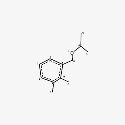 Cc1cccc(COC(C)C)c1C